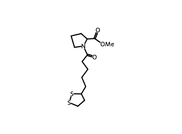 COC(=O)C1CCCN1C(=O)CCCCC1CCSS1